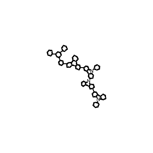 c1ccc(-c2cc(-c3ccccc3)cc(-c3cccc(-c4ccc5c6ccc(-c7ccc8c(c7)c7cc(-n9c%10ccccc%10c%10cc(-c%11ccc%12c(c%11)c%11ccccc%11n%12-c%11ccccc%11)ccc%109)ccc7n8-c7ccccc7)cc6c6ccccc6c5c4)c3)c2)cc1